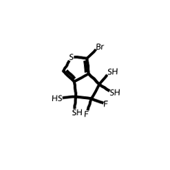 FC1(F)C(S)(S)c2csc(Br)c2C1(S)S